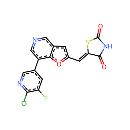 O=C1NC(=O)/C(=C/c2cc3cncc(-c4cnc(Cl)c(F)c4)c3o2)S1